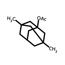 CC(=O)OC12CC3CC(C)(CC(C)(C3)C1)C2